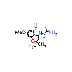 COc1cc(C)c2c(c1)OC(C)(C)CC2=NNC(N)=S